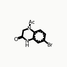 CC(=O)N1CC(=O)Nc2cc(Br)ccc21